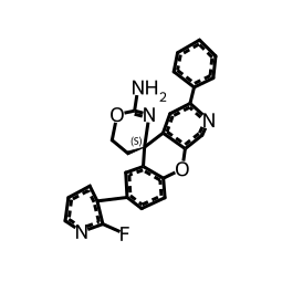 NC1=N[C@@]2(CCO1)c1cc(-c3cccnc3F)ccc1Oc1cnc(-c3ccccc3)cc12